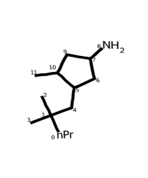 CCCC(C)(C)CC1CC(N)CC1C